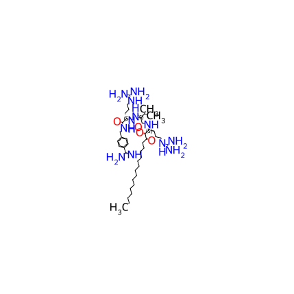 CCCCCCCCCCCCCCCC(=O)C(=O)[C@H](CCCNC(N)N)NC(=O)[C@@H](NN[C@@H](CCCNC(N)N)C(=O)NCc1ccc(C(=N)N)cc1)C(C)C